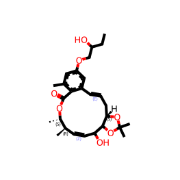 CCC(O)COc1cc(C)c2c(c1)/C=C/C[C@@H]1OC(C)(C)OC1C(O)/C=C\[C@@H](C)[C@H](C)OC2=O